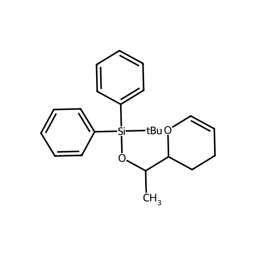 CC(O[Si](c1ccccc1)(c1ccccc1)C(C)(C)C)C1CCC=CO1